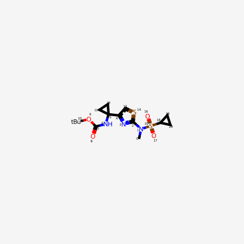 CN(c1nc(C2(NC(=O)OC(C)(C)C)CC2)cs1)S(=O)(=O)C1CC1